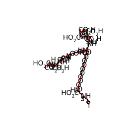 O=C(O)CC[C@H](NC(=O)N[C@@H](CCCCNC(=O)Nc1cccc(-c2cn(CCOCCOCCOCCC(=O)NC(CCCCNC(=S)Nc3ccc(CC4CN(CC(=O)O)CCN(CC(=O)O)CCN(CC(=O)O)CCN4CC(=O)O)cc3)C(=O)NCCOCCOCCOCCOCCOCCOCCOCCOCCC(=O)N[C@@H](CCCCNC(=S)CCCc3ccc(I)cc3)C(=O)O)nn2)c1)C(=O)O)C(=O)O